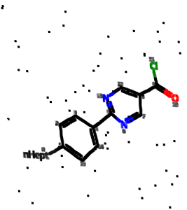 CCCCCCCc1ccc(-c2ncc(C(=O)Cl)cn2)cc1